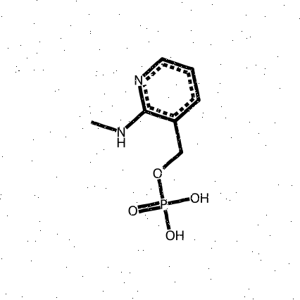 CNc1ncccc1COP(=O)(O)O